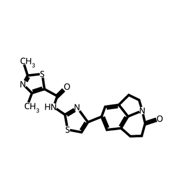 Cc1nc(C)c(C(=O)Nc2nc(-c3cc4c5c(c3)CCN5C(=O)CC4)cs2)s1